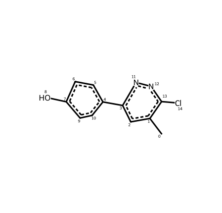 Cc1cc(-c2ccc(O)cc2)nnc1Cl